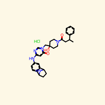 CC(CC(=O)N1CCC(O)(Cn2cnc(Nc3ccc4c(c3)C3CCC4N3)cc2=O)CC1)c1ccccc1.Cl